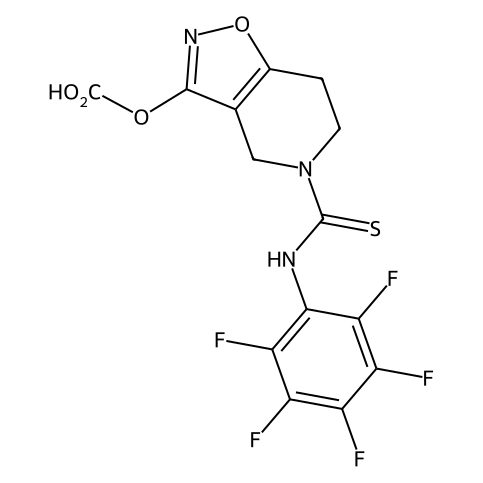 O=C(O)Oc1noc2c1CN(C(=S)Nc1c(F)c(F)c(F)c(F)c1F)CC2